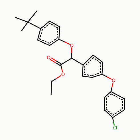 CCOC(=O)C(Oc1ccc(C(C)(C)C)cc1)c1ccc(Oc2ccc(Cl)cc2)cc1